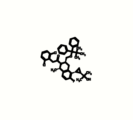 C[C@H]1c2ccc(F)c([C@@H]3C[C@H]3C(C)(C)O)c2C[C@H](CO[Si](c2ccccc2)(c2ccccc2)C(C)(C)C)N1C(=O)Cc1c(Cl)cccc1Cl